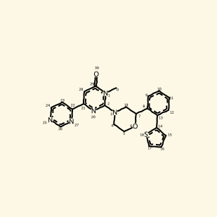 Cn1c(N2CCOC(c3ccccc3-c3cccs3)C2)nc(-c2ccncn2)cc1=O